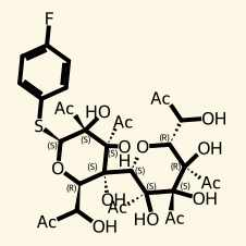 CC(=O)C(O)[C@H]1O[C@@H](Sc2ccc(F)cc2)[C@@](O)(C(C)=O)[C@](O)(C(C)=O)[C@@]1(O)[C@@H]1O[C@H](C(O)C(C)=O)[C@](O)(C(C)=O)[C@@](O)(C(C)=O)[C@]1(O)C(C)=O